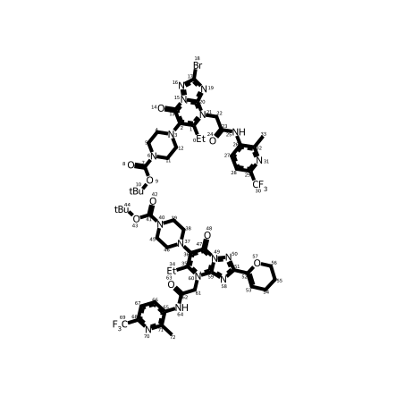 CCc1c(N2CCN(C(=O)OC(C)(C)C)CC2)c(=O)n2nc(Br)nc2n1CC(=O)Nc1ccc(C(F)(F)F)nc1C.CCc1c(N2CCN(C(=O)OC(C)(C)C)CC2)c(=O)n2nc(C3=CCCCO3)nc2n1CC(=O)Nc1ccc(C(F)(F)F)nc1C